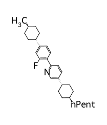 CCCCC[C@H]1CC[C@H](c2ccc(-c3ccc([C@H]4CC[C@H](C)CC4)cc3F)nc2)CC1